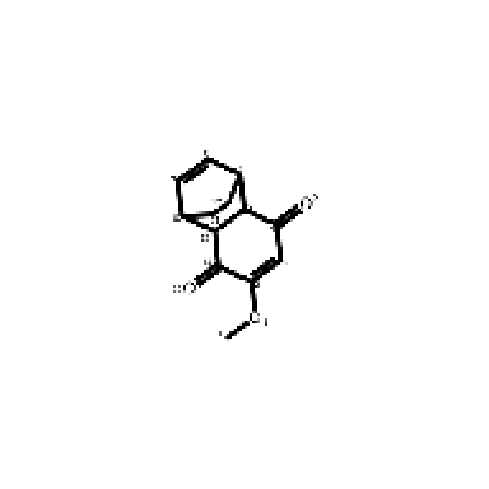 COC1=CC(=O)C2C3C=CC(CC3)C2C1=O